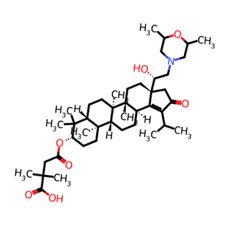 CC1CN(C[C@@H](O)[C@@]23CC[C@]4(C)[C@H](CC[C@@H]5[C@@]6(C)CC[C@H](OC(=O)CC(C)(C)C(=O)O)C(C)(C)[C@@H]6CC[C@]54C)C2=C(C(C)C)C(=O)C3)CC(C)O1